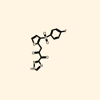 O=C(Cc1occc1S(=O)(=O)c1ccc(F)cc1)C(=O)c1nc[nH]n1